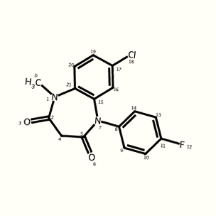 CN1C(=O)CC(=O)N(c2ccc(F)cc2)c2cc(Cl)ccc21